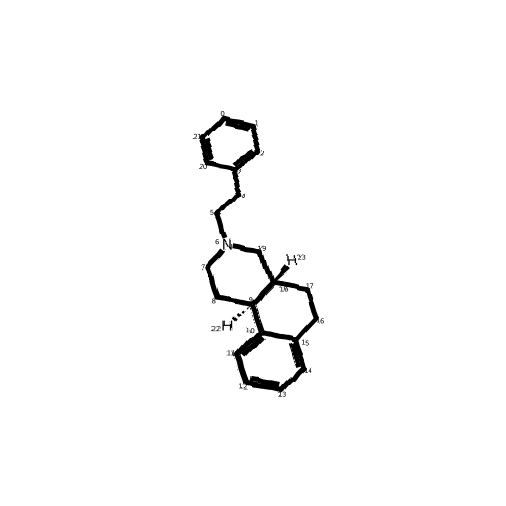 c1ccc(CCN2CC[C@@H]3c4ccccc4CC[C@H]3C2)cc1